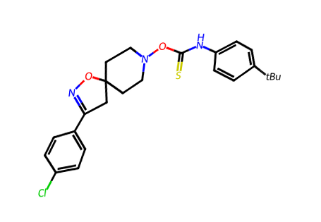 CC(C)(C)c1ccc(NC(=S)ON2CCC3(CC2)CC(c2ccc(Cl)cc2)=NO3)cc1